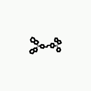 C(=C\c1ccc(N(c2ccccc2)c2cccc3ccccc23)cc1)/c1ccc(N(c2ccc3ccccc3c2)c2ccc3ccccc3c2)cc1